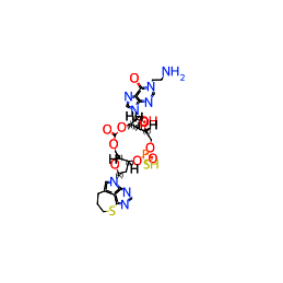 NCCn1cnc2c(ncn2[C@@H]2O[C@@H]3COP(=O)(S)O[C@H]4C[C@H](n5cc6c7c(ncnc75)SCCC6)O[C@@H]4COC(=O)O[C@@H]2[C@@H]3O)c1=O